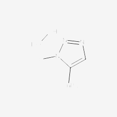 CCCCc1cnnn1C.O=CO